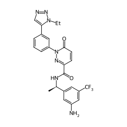 CCn1nncc1-c1cccc(-n2nc(C(=O)N[C@H](C)c3cc(N)cc(C(F)(F)F)c3)ccc2=O)c1